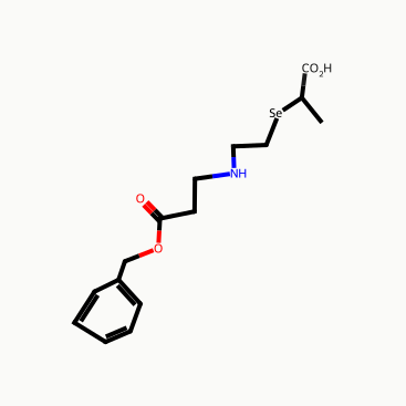 CC([Se]CCNCCC(=O)OCc1ccccc1)C(=O)O